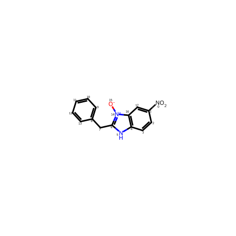 O=[N+]([O-])c1ccc2[nH]c(Cc3ccccc3)[n+]([O-])c2c1